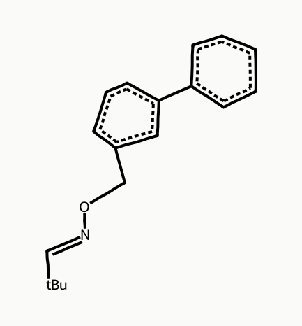 CC(C)(C)C=NOCc1cccc(-c2ccccc2)c1